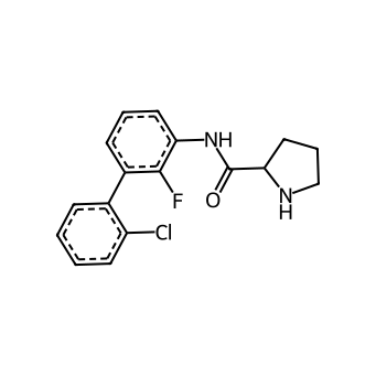 O=C(Nc1cccc(-c2ccccc2Cl)c1F)C1CCCN1